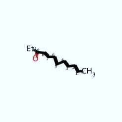 C/C=C/C=C/C=C/C=C/C(=O)CC